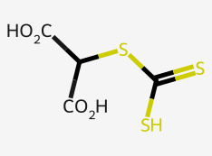 O=C(O)C(SC(=S)S)C(=O)O